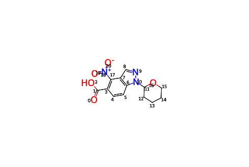 O=C(O)c1ccc2c(cnn2C2CCCCO2)c1[N+](=O)[O-]